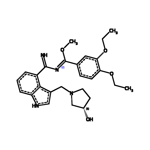 CCOc1ccc(/C(=N/C(=N)c2cccc3[nH]cc(CN4CC[C@H](O)C4)c23)OC)cc1OCC